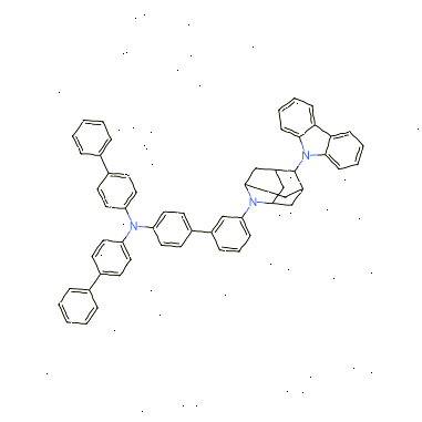 c1ccc(-c2ccc(N(c3ccc(-c4ccccc4)cc3)c3ccc(-c4cccc(N5C6CC7CC5CC(C6)C7n5c6ccccc6c6ccccc65)c4)cc3)cc2)cc1